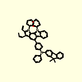 C=Cc1c(/C=C\C)c2cc(-c3ccc(N(c4ccccc4)c4ccc5c(c4)C(C)(C)c4ccccc4-5)cc3)c3c4ccccc4n(-c4ccccc4)c3c2n1-c1ccccc1